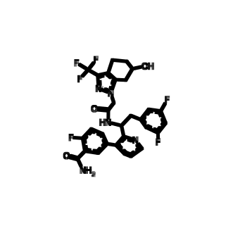 NC(=O)c1cc(-c2cccnc2C(Cc2cc(F)cc(F)c2)NC(=O)Cn2nc(C(F)(F)F)c3c2CC(O)CC3)ccc1F